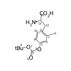 Cc1cc(OC(=O)OC(C)(C)C)ccc1CC(N)C(=O)O